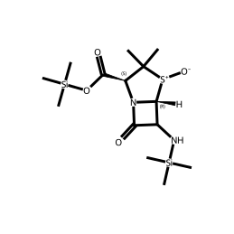 CC1(C)[C@H](C(=O)O[Si](C)(C)C)N2C(=O)C(N[Si](C)(C)C)[C@H]2[S+]1[O-]